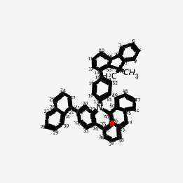 CC1(C)c2ccccc2-c2cccc(-c3ccc(N(c4cc(-c5cccc6ccccc56)ccc4-c4ccccc4)c4cccc5ccccc45)cc3)c21